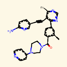 CCc1ncnc(-c2ccc(C(=O)N3CCN(c4ccncc4)CC3)c(C)c2)c1C#Cc1ccc(N)nc1